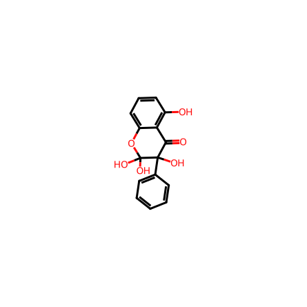 O=C1c2c(O)cccc2OC(O)(O)C1(O)c1ccccc1